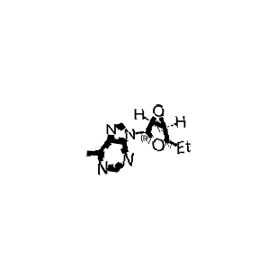 CC[C@H]1O[C@@H](n2cnc3c(C)ncnc32)[C@H]2O[C@H]21